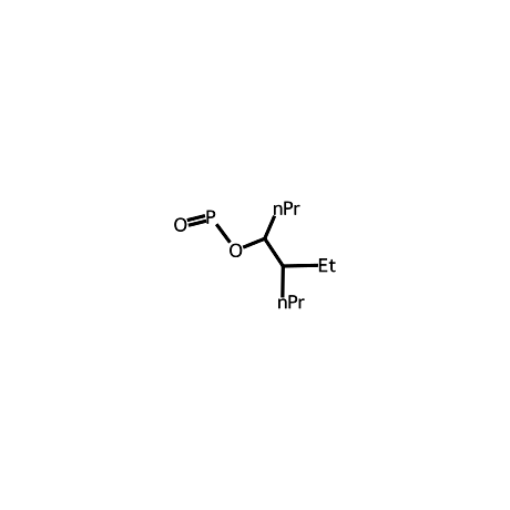 CCCC(CC)C(CCC)OP=O